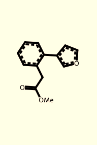 COC(=O)Cc1ccccc1-c1ccoc1